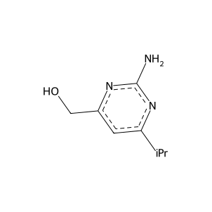 CC(C)c1cc(CO)nc(N)n1